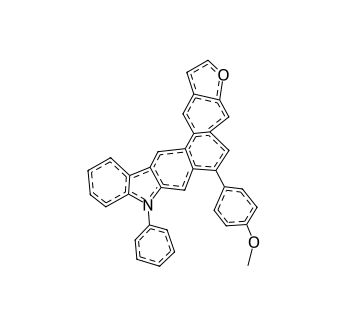 COc1ccc(-c2cc3cc4occc4cc3c3cc4c5ccccc5n(-c5ccccc5)c4cc23)cc1